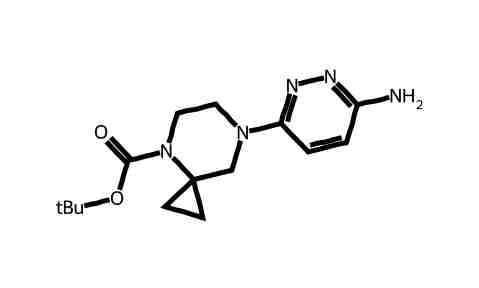 CC(C)(C)OC(=O)N1CCN(c2ccc(N)nn2)CC12CC2